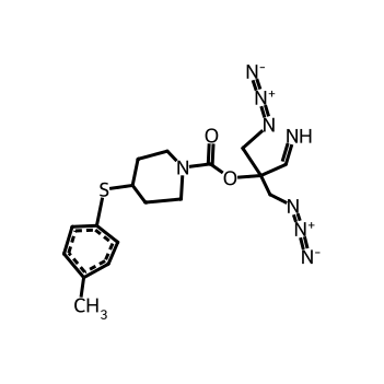 Cc1ccc(SC2CCN(C(=O)OC(C=N)(CN=[N+]=[N-])CN=[N+]=[N-])CC2)cc1